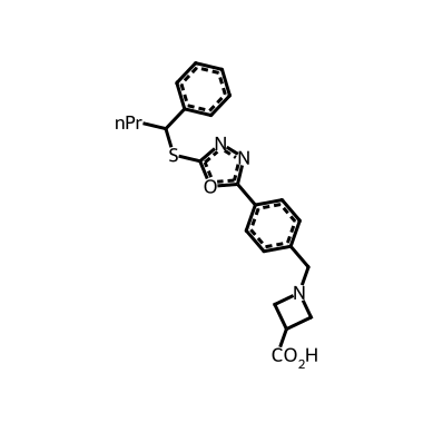 CCCC(Sc1nnc(-c2ccc(CN3CC(C(=O)O)C3)cc2)o1)c1ccccc1